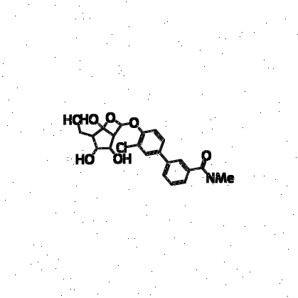 CNC(=O)c1cccc(-c2ccc(OC3OC4(O)C(CO)C(O)C(O)C34)c(Cl)c2)c1